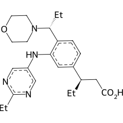 CCc1ncc(Nc2cc([C@H](CC)CC(=O)O)ccc2[C@@H](CC)N2CCOCC2)cn1